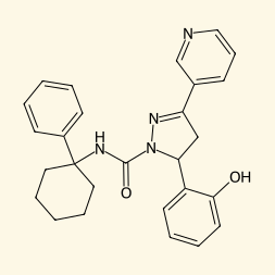 O=C(NC1(c2ccccc2)CCCCC1)N1N=C(c2cccnc2)CC1c1ccccc1O